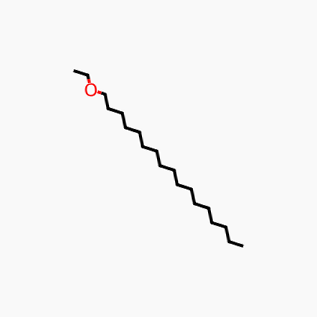 CCCCCCCCCCCCCCCCCOCC